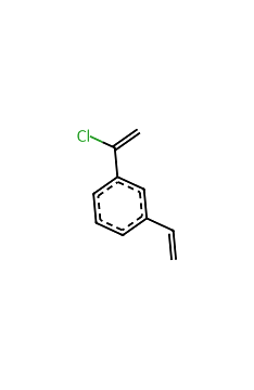 C=Cc1cccc(C(=C)Cl)c1